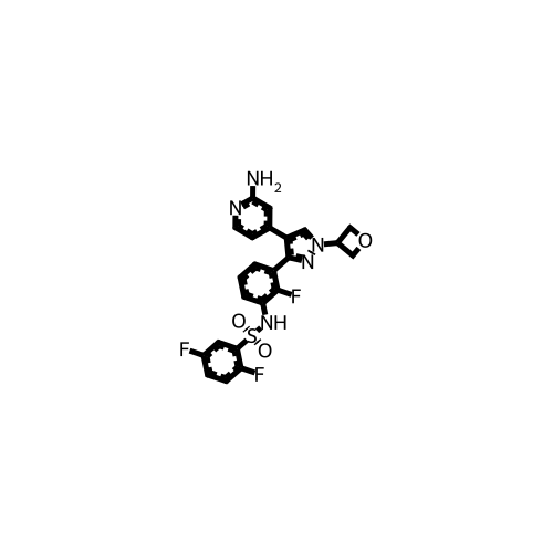 Nc1cc(-c2cn(C3COC3)nc2-c2cccc(NS(=O)(=O)c3cc(F)ccc3F)c2F)ccn1